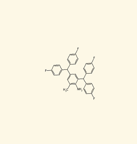 Cc1cc(C(c2ccc(F)cc2)c2ccc(F)cc2)cc(C(c2ccc(F)cc2)c2ccc(F)cc2)c1N